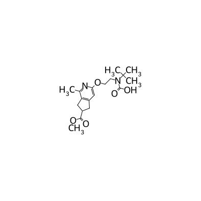 COC(=O)C1Cc2cc(OCCN(C(=O)O)C(C)(C)C)nc(C)c2C1